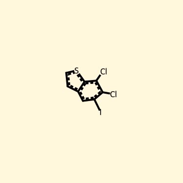 Clc1c(I)cc2ccsc2c1Cl